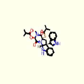 CC(C)C(=O)O[C@@H]1C(=O)N2[C@H]3Nc4ccccc4[C@@]3(c3c[nH]c4ccccc34)C[C@]2(SC(=O)C(C)C)C(=O)N1C